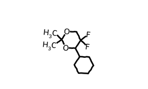 CC1(C)OCC(F)(F)C(C2CCCCC2)O1